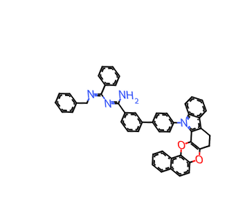 N/C(=N\C(=N/Cc1ccccc1)c1ccccc1)c1cccc(-c2ccc(-n3c4c(c5ccccc53)CCC3=C4Oc4c(ccc5ccccc45)O3)cc2)c1